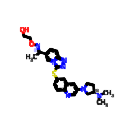 C/C(=N\OCCO)c1ccc2nnc(Sc3ccc4ncc(N5CC[C@H](N(C)C)C5)cc4c3)n2c1